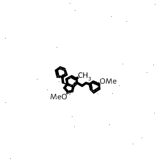 COc1cccc(CCC2=C3C[C@H](OC)C[C@]3(Cc3ccccc3)CC=C2C)c1